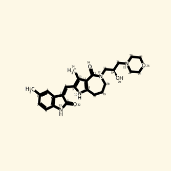 Cc1ccc2c(c1)/C(=C/c1[nH]c3c(c1C)C(=O)N(C[C@H](O)CN1CCOCC1)CCC3)C(=O)N2